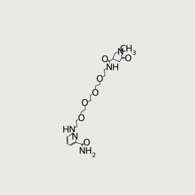 CN1CC(C(=O)NCCOCCOCCOCCOCCNc2cccc(C(N)=O)n2)CC1=O